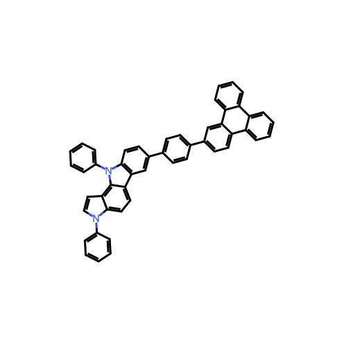 c1ccc(-n2ccc3c2ccc2c4cc(-c5ccc(-c6ccc7c8ccccc8c8ccccc8c7c6)cc5)ccc4n(-c4ccccc4)c23)cc1